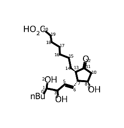 CCCCC(O)C(O)C=C[C@H]1[C@H](O)CC(=O)[C@@H]1CCCCCCC(=O)O